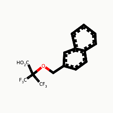 O=C(O)C(OCc1ccc2ccccc2c1)(C(F)(F)F)C(F)(F)F